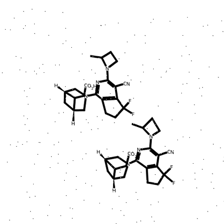 CC1CCN1c1nc(N2C[C@H]3C[C@@H](C2)C3CC(=O)O)c2c(c1C#N)C(F)(F)CC2.CC1CCN1c1nc(N2C[C@H]3C[C@@H](C2)C3CC(=O)O)c2c(c1C#N)C(F)(F)CC2